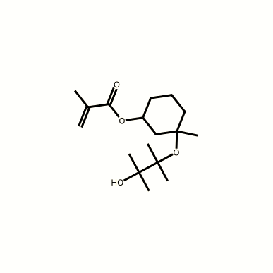 C=C(C)C(=O)OC1CCCC(C)(OC(C)(C)C(C)(C)O)C1